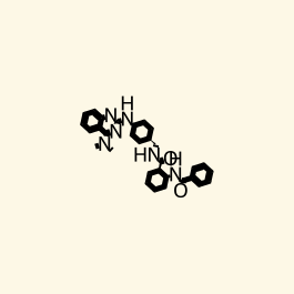 CN(C)c1nc(N[C@H]2CC[C@@H](CNC(=O)[C@@H]3CCCC[C@@H]3NC(=O)c3ccccc3)CC2)nc2ccccc12